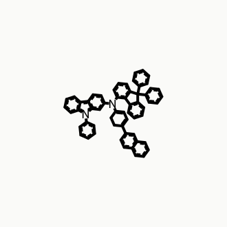 C1=C(c2ccc3ccccc3c2)CCC(N(c2ccc3c4ccccc4n(-c4ccccc4)c3c2)c2cccc3c2-c2ccccc2C3(c2ccccc2)c2ccccc2)=C1